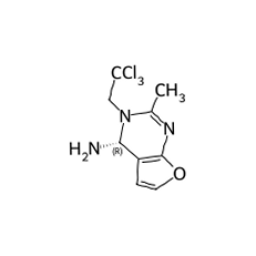 CC1=Nc2occc2[C@H](N)N1CC(Cl)(Cl)Cl